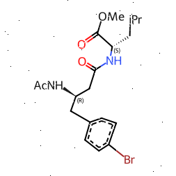 COC(=O)[C@H](CC(C)C)NC(=O)C[C@@H](Cc1ccc(Br)cc1)NC(C)=O